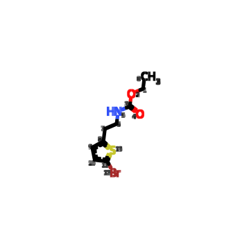 CCOC(=O)NCCc1ccc(Br)s1